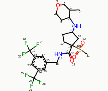 CC1COCCC1N[C@@H]1CCC(C(=O)NCc2cc(C(F)(F)F)cc(C(F)(F)F)c2)(S(C)(=O)=O)C1